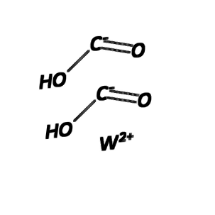 O=[C-]O.O=[C-]O.[W+2]